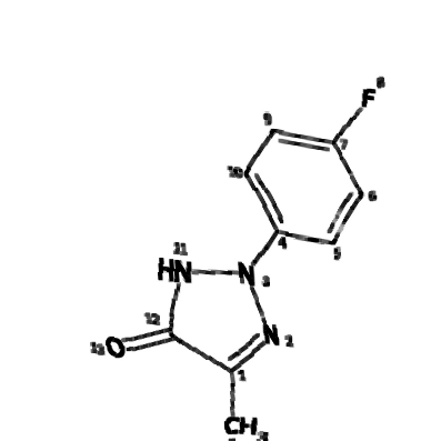 Cc1nn(-c2ccc(F)cc2)[nH]c1=O